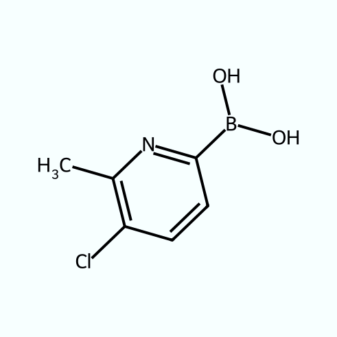 Cc1nc(B(O)O)ccc1Cl